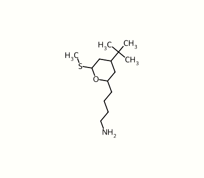 CSC1CC(C(C)(C)C)CC(CCCCN)O1